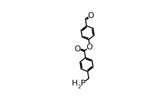 O=Cc1ccc(OC(=O)c2ccc(CP)cc2)cc1